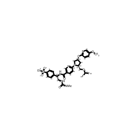 CCS(=O)(=O)c1ccc([C@H](CNC(=O)NC)NC(=O)c2ccc(N3C[C@@H](Oc4ccc(OC(F)(F)F)cn4)C[C@H]3COC(F)F)nc2)cc1